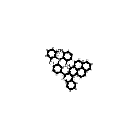 Cc1cccc(C)c1B(c1cccc(-c2nc3ccccc3c3c2cc2ccc4cccc5ccc3c2c45)c1)c1c(C)cccc1C